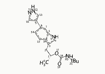 C[C@H](Cc1c[nH]c2cc(-c3cn[nH]c3)ccc12)OC(=O)NC(C)(C)C